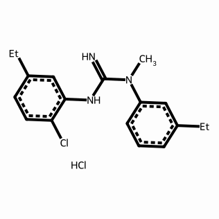 CCc1cccc(N(C)C(=N)Nc2cc(CC)ccc2Cl)c1.Cl